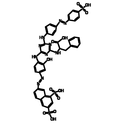 O=C(O)C(Cc1ccccc1)Nc1nc(Nc2ccc(N=Nc3ccc(S(=O)(=O)O)cc3)cc2)nc(Nc2ccc(N=Nc3ccc4cc(S(=O)(=O)O)cc(S(=O)(=O)O)c4c3)cc2O)n1